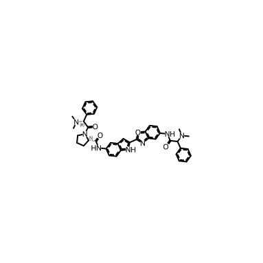 CN(C)C(C(=O)Nc1ccc2oc(-c3cc4cc(NC(=O)[C@@H]5CCCN5C(=O)[C@@H](c5ccccc5)N(C)C)ccc4[nH]3)nc2c1)c1ccccc1